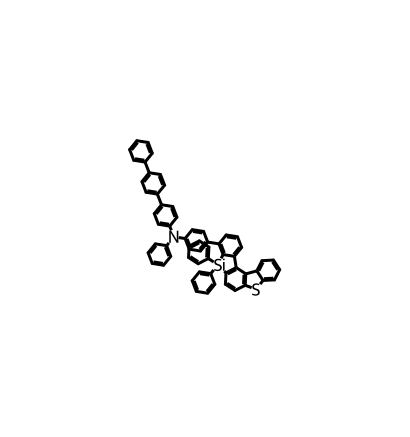 c1ccc(-c2ccc(-c3ccc(N(c4ccccc4)c4ccc(-c5cccc6c5[Si](c5ccccc5)(c5ccccc5)c5ccc7sc8ccccc8c7c5-6)cc4)cc3)cc2)cc1